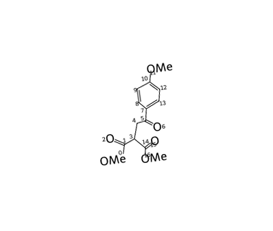 COC(=O)C(CC(=O)c1ccc(OC)cc1)C(=O)OC